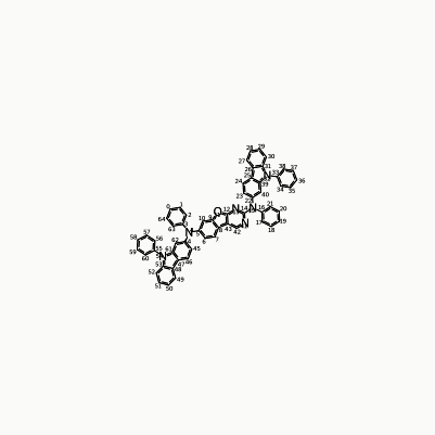 c1ccc(N(c2ccc3c(c2)oc2nc(N(c4ccccc4)c4ccc5c6ccccc6n(-c6ccccc6)c5c4)ncc23)c2ccc3c4ccccc4n(-c4ccccc4)c3c2)cc1